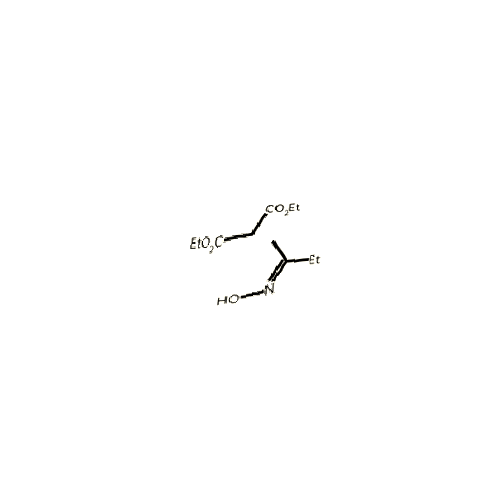 CCC(C)=NO.CCOC(=O)CC(=O)OCC